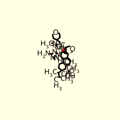 CC(C)[C@@H](C)[C@@]1(C)CC[C@]2(C)[C@H]3CC[C@@H]4[C@@]5(COC[C@@]4(C)[C@@H](OCC4(N(C)C)CCOCC4)[C@H](n4nnc(N)n4)C5)C3=CC[C@@]2(C)[C@@H]1C(=O)O